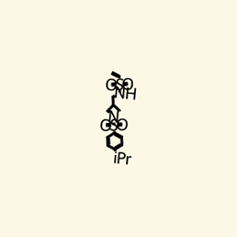 C=CS(=O)(=O)NCC1CN(S(=O)(=O)c2ccc(C(C)C)cc2)C1